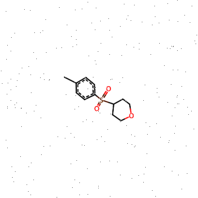 Cc1ccc(S(=O)(=O)C2CCOCC2)cc1